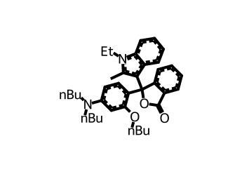 CCCCOc1cc(N(CCCC)CCCC)ccc1C1(c2c(C)n(CC)c3ccccc23)OC(=O)c2ccccc21